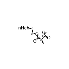 CCCCCCCCOC(=O)C(C)P(=O)=O